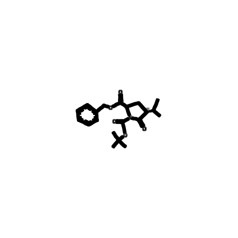 CC(C)[C@@H]1CC(C(=O)OCc2ccccc2)N(C(=O)OC(C)(C)C)C1=O